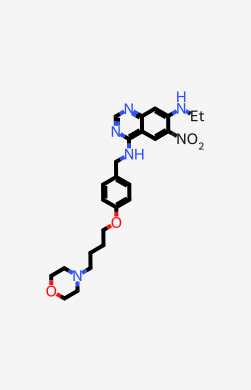 CCNc1cc2ncnc(NCc3ccc(OCCCCN4CCOCC4)cc3)c2cc1[N+](=O)[O-]